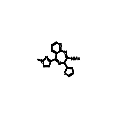 CNC1=Nc2ncccc2C(c2ccn(C)n2)=NC1c1cccs1